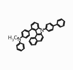 CN(c1ccccc1)c1ccc(-c2cccc3c2c2c4ccccc4ccc2n3-c2ccc(-c3ccccc3)cc2)cc1